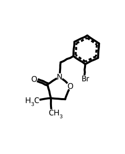 CC1(C)CON(Cc2ccccc2Br)C1=O